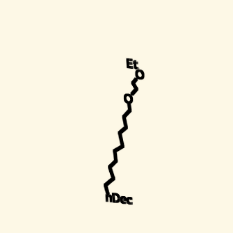 [CH2]COCCOCCCCCCCCCCCCCCCCCCCC